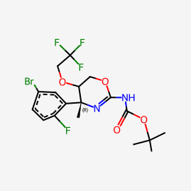 CC(C)(C)OC(=O)NC1=N[C@](C)(c2cc(Br)ccc2F)C(OCC(F)(F)F)CO1